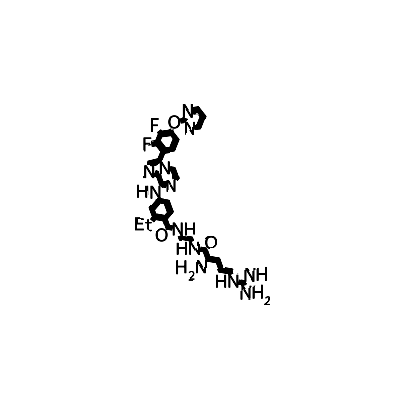 CCc1cc(Nc2nccn3c(-c4ccc(Oc5ncccn5)c(F)c4F)cnc23)ccc1C(=O)NCCNC(=O)[C@H](N)CCCNC(=N)N